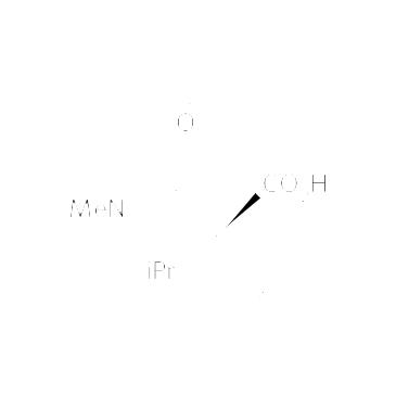 CNC(=O)[C@@](C)(C(=O)O)C(C)C